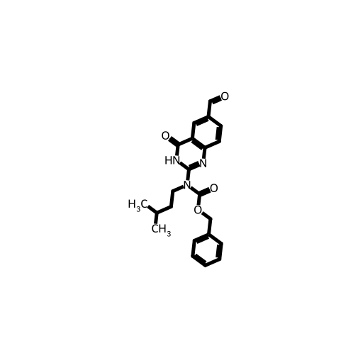 CC(C)CCN(C(=O)OCc1ccccc1)c1nc2ccc(C=O)cc2c(=O)[nH]1